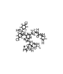 CCC(=O)N[C@H]1C[C@@H](n2cnc3c(NCC(O)(c4ccc(Cl)cc4)c4ccc(Cl)cc4)nc(N4CC[C@@H](NC(=O)N[C@@H]5CCNC5)C4)nc32)[C@H](OC(=O)C(F)(F)F)[C@@H]1O